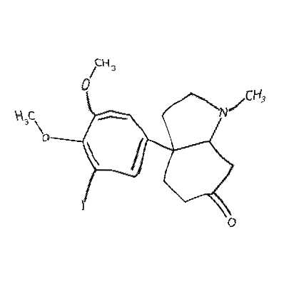 COc1cc(C23CCC(=O)CC2N(C)CC3)cc(I)c1OC